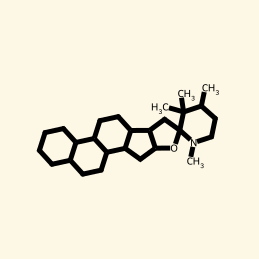 CC1CCN(C)C2(CC3C(CC4C3CCC3C5CCCCC5CCC34)O2)C1(C)C